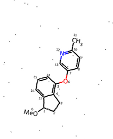 COC1CCc2c(Oc3ccc(C)nc3)cccc21